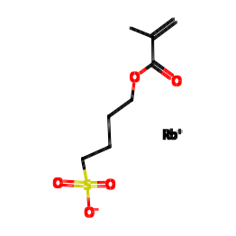 C=C(C)C(=O)OCCCCS(=O)(=O)[O-].[Rb+]